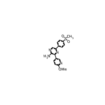 COc1ccc(-c2nc(-c3ccc(S(C)(=O)=O)cc3)cnc2N)cn1